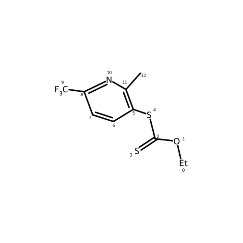 CCOC(=S)Sc1ccc(C(F)(F)F)nc1C